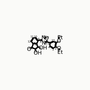 CCOc1ccc(-c2nc(-c3cccc4c3C(O)C(O)C4=O)no2)cc1OCC